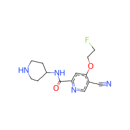 N#Cc1cnc(C(=O)NC2CCNCC2)cc1OCCF